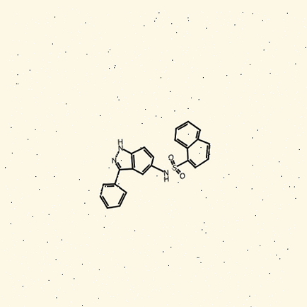 O=S(=O)(Nc1ccc2[nH]nc(-c3ccccc3)c2c1)c1cccc2ccccc12